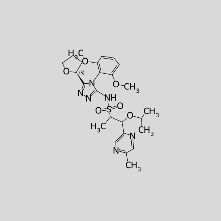 COc1cccc(OC)c1-n1c(NS(=O)(=O)C(C)C(OC(C)C)c2cnc(C)cn2)nnc1[C@@H]1CCCO1